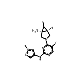 CC1[C@H]2CN(c3nc(Nc4cnn(C)c4)ncc3F)C[C@@]12N